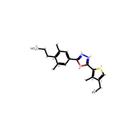 Cc1cc(-c2nnc(-c3scc(CC(C)C)c3C)o2)cc(C)c1CCC(=O)O